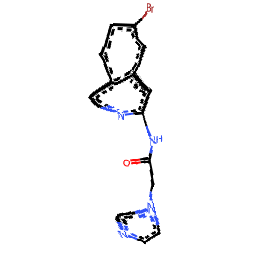 O=C(Cn1ccnc1)Nc1cc2cc(Br)ccc2cn1